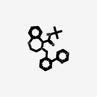 CC(C)(C)NC(=O)C1c2ccccc2OCCN1Cc1ccccc1-c1ccncn1